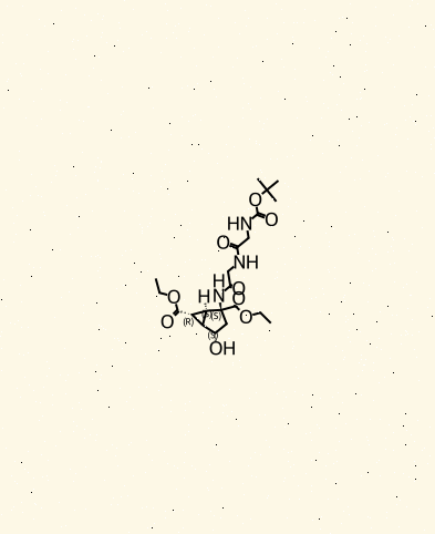 CCOC(=O)[C@H]1C2[C@@H](O)C[C@@](NC(=O)CNC(=O)CNC(=O)OC(C)(C)C)(C(=O)OCC)[C@@H]21